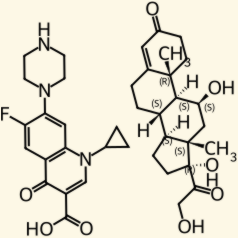 C[C@]12CCC(=O)C=C1CC[C@@H]1[C@@H]2[C@@H](O)C[C@@]2(C)[C@H]1CC[C@]2(O)C(=O)CO.O=C(O)c1cn(C2CC2)c2cc(N3CCNCC3)c(F)cc2c1=O